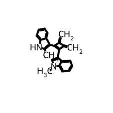 C=C1C(=C)C(c2cn(C)c3ccccc23)=C1c1c(C)[nH]c2ccccc12